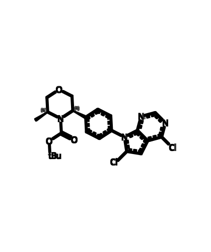 C[C@H]1COC[C@@H](c2ccc(-n3c(Cl)cc4c(Cl)ncnc43)cc2)N1C(=O)OC(C)(C)C